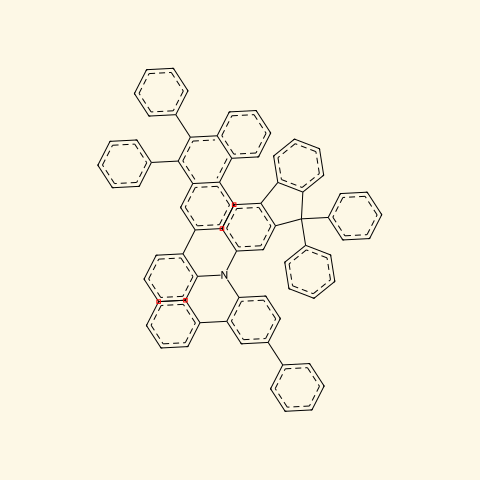 c1ccc(-c2ccc(N(c3ccc4c(c3)C(c3ccccc3)(c3ccccc3)c3ccccc3-4)c3ccccc3-c3ccc4c(c3)c(-c3ccccc3)c(-c3ccccc3)c3ccccc34)c(-c3ccccc3)c2)cc1